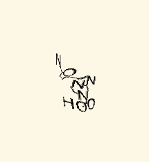 N#Cc1ccc(-c2cnc3n2CCN(C(=O)O)C3)o1